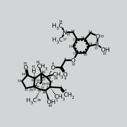 C=C[C@]1(C)C[C@@H](OC(=O)COc2cc(CN(C)C)c3c(c2)B(O)OC3)[C@]2(C)[C@H](C)CC[C@]3(CCC(=O)[C@H]32)[C@@H](C)[C@@H]1O